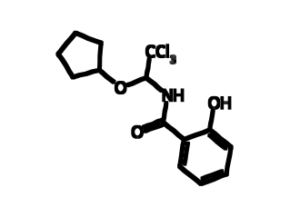 O=C(NC(OC1CCCC1)C(Cl)(Cl)Cl)c1ccccc1O